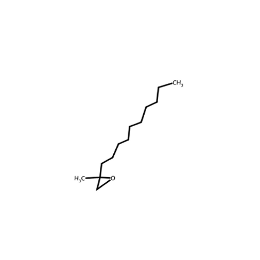 CCCCCCCCCCC1(C)CO1